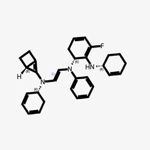 FC1=C(N[C@H]2C=CCCC2)[C@H](N(/C=C/N(C2=C3CC[C@H]32)[C@H]2C=CC=CC2)c2ccccc2)CC=C1